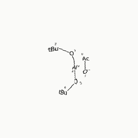 CC(=O)[O-].CC(C)(C)[O][Al+][O]C(C)(C)C